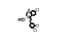 CN1CCN=C(/C=C/c2ccc(Cl)c(Cl)c2)c2ccc(Cl)cc21.Cl.Cl